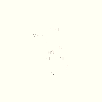 CCOC(=O)c1cc2nc(Nc3c(Cl)cncc3Cl)[nH]c2cc1OC